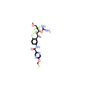 COCC(F)(F)[C@@H](OC(=N)N)[C@H](F)[C@@H](C)c1cc(NC(=O)c2cnc(OCF)cn2)ccc1F